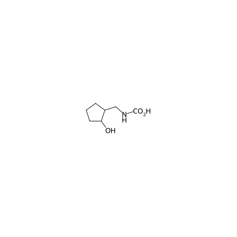 O=C(O)NCC1CCCC1O